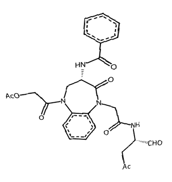 CC(=O)C[C@@H](C=O)NC(=O)CN1C(=O)[C@@H](NC(=O)c2ccccc2)CN(C(=O)COC(C)=O)c2ccccc21